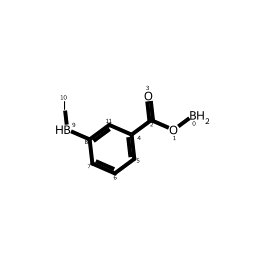 BOC(=O)c1cccc(BI)c1